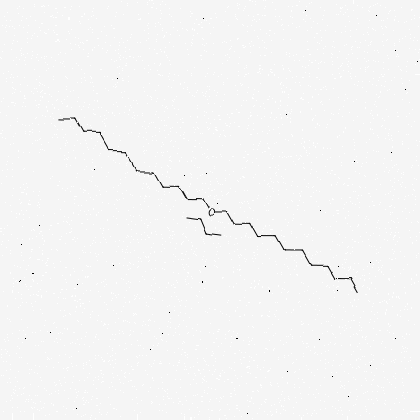 CCCC.CCCCCCCCCCCCOCCCCCCCCCCCC